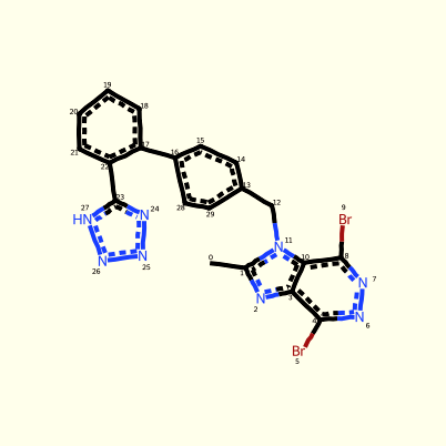 Cc1nc2c(Br)nnc(Br)c2n1Cc1ccc(-c2ccccc2-c2nnn[nH]2)cc1